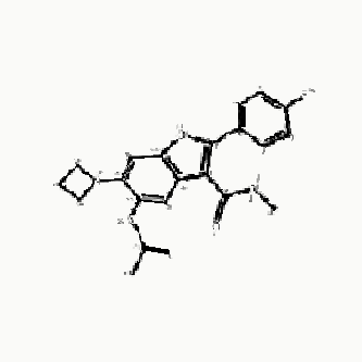 CNC(=O)c1c(-c2ccc(F)cc2)oc2cc(N3CCC3)c(OC(C)C)cc12